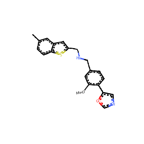 COc1cc(CNCc2cc3cc(C)ccc3s2)ccc1-c1cnco1